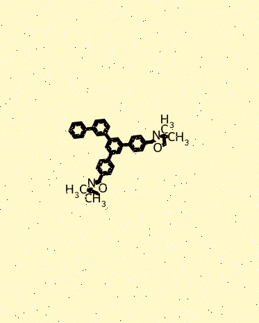 CC1(C)COC(c2ccc(-c3cc(-c4ccc(C5=NC(C)(C)CO5)cc4)cc(-c4cccc(-c5ccccc5)c4)c3)cc2)=N1